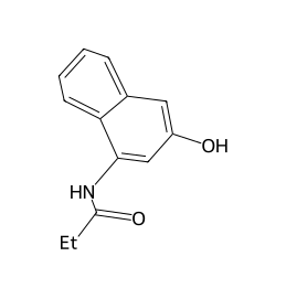 CCC(=O)Nc1cc(O)cc2ccccc12